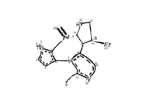 C=Nc1[nH]ccc1-n1c(C2CNC[C@H]2CC)cnc1C